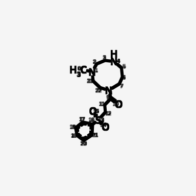 CN1CCNCCCN(C(=O)CCS(=O)(=O)c2ccccc2)CC1